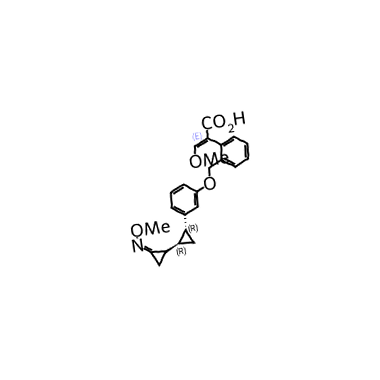 CO/C=C(/C(=O)O)c1ccccc1COc1cccc([C@@H]2C[C@H]2C2CC2=NOC)c1